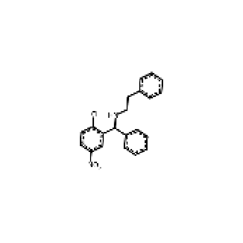 O=[N+]([O-])c1ccc(Cl)c(C(NCCc2ccccc2)c2ccccc2)c1